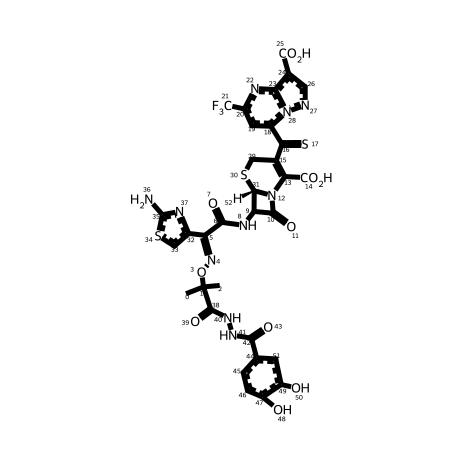 CC(C)(ON=C(C(=O)NC1C(=O)N2C(C(=O)O)=C(C(=S)c3cc(C(F)(F)F)nc4c(C(=O)O)cnn34)CS[C@@H]12)c1csc(N)n1)C(=O)NNC(=O)c1ccc(O)c(O)c1